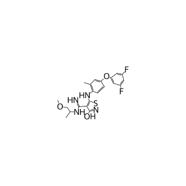 COCC(C)NC(=N)c1c(O)nsc1Nc1ccc(Oc2cc(F)cc(F)c2)cc1C